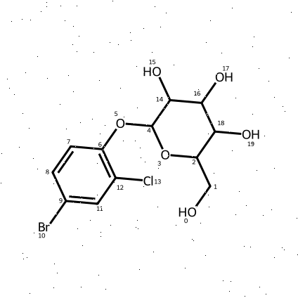 OCC1OC(Oc2ccc(Br)cc2Cl)C(O)C(O)C1O